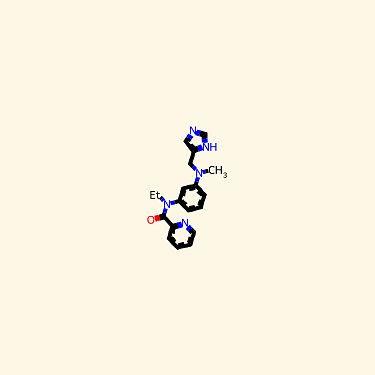 CCN(C(=O)c1ccccn1)c1cccc(N(C)Cc2cnc[nH]2)c1